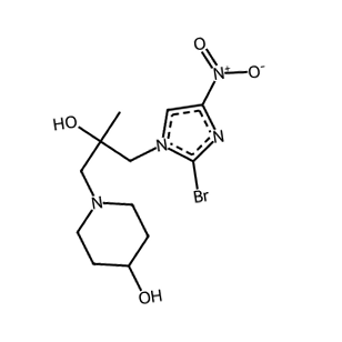 CC(O)(CN1CCC(O)CC1)Cn1cc([N+](=O)[O-])nc1Br